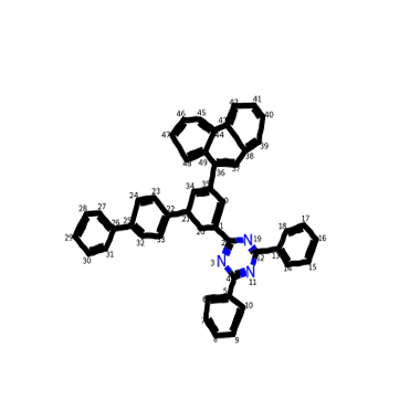 C1=C(c2nc(-c3ccccc3)nc(-c3ccccc3)n2)CC(c2ccc(-c3ccccc3)cc2)C=C1c1cc2ccccc2c2ccccc12